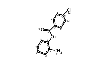 Cc1ccccc1OC(=O)c1ccc(Cl)cc1